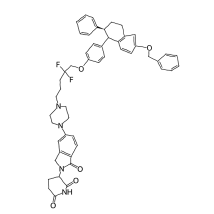 O=C1CCC(N2Cc3cc(N4CCN(CCCC(F)(F)COc5ccc(C6c7ccc(OCc8ccccc8)cc7CC[C@@H]6c6ccccc6)cc5)CC4)ccc3C2=O)C(=O)N1